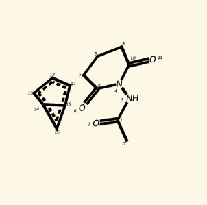 CC(=O)NN1C(=O)CCCC1=O.c1cc2cc-2c1